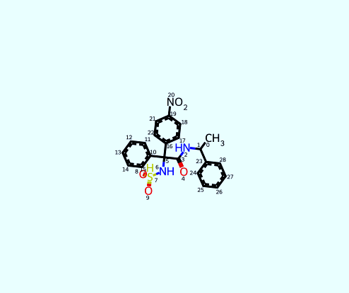 CC(NC(=O)C(N[SH](=O)=O)(c1ccccc1)c1ccc([N+](=O)[O-])cc1)c1ccccc1